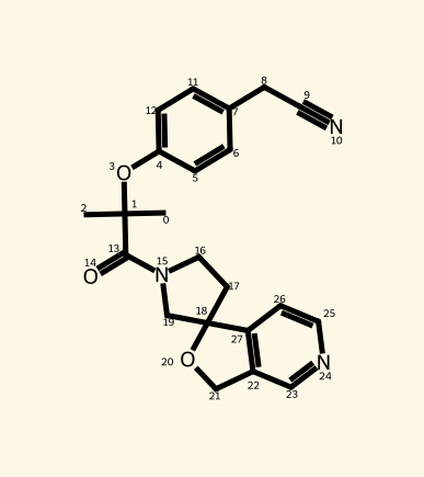 CC(C)(Oc1ccc(CC#N)cc1)C(=O)N1CCC2(C1)OCc1cnccc12